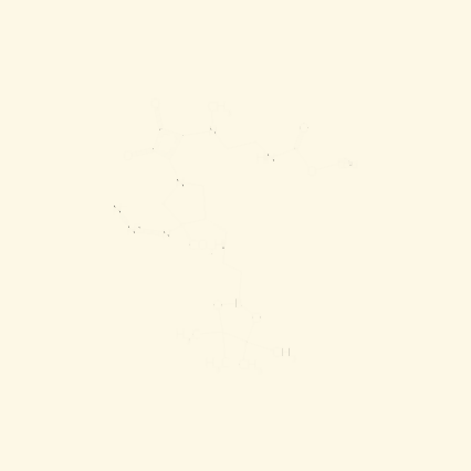 CN(CCNC(=O)OC(C)(C)C)c1c(N2C[C@H](CCCB3OC(C)(C)C(C)(C)O3)[C@](N=[N+]=[N-])(C(=O)O)C2)c(=O)c1=O